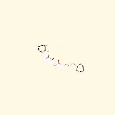 Cc1cc(O)cc(C)c1CC(N)C(=O)N[C@H](C)C(=O)NCCCc1ccccc1.Cl